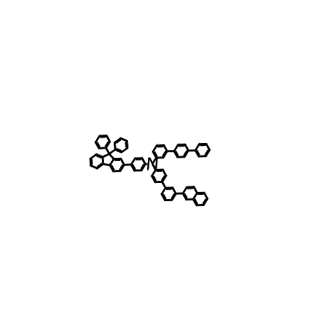 c1ccc(-c2ccc(-c3cccc(N(c4ccc(-c5cccc(-c6ccc7ccccc7c6)c5)cc4)c4ccc(-c5ccc6c(c5)C(c5ccccc5)(c5ccccc5)c5ccccc5-6)cc4)c3)cc2)cc1